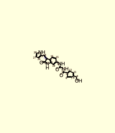 O=C(NC(=O)c1ccc(CO)cc1)Nc1ccc2c(c1)NC(=O)/C2=C\c1ccc[nH]1